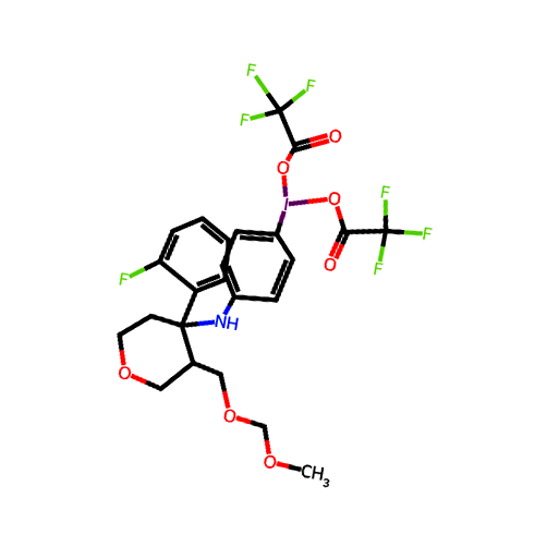 COCOCC1COCCC1(Nc1ccc(I(OC(=O)C(F)(F)F)OC(=O)C(F)(F)F)cc1)c1ccccc1F